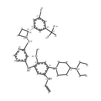 C=CNc1cc(Nc2cc(SN3CC[C@@H]3c3cc(F)cc(C(C)(F)F)c3)ncn2)c(OC)cc1N1CCC(N(CC)CC)CC1